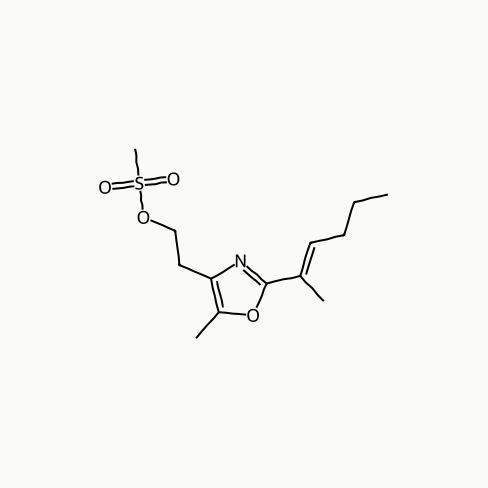 CCCC=C(C)c1nc(CCOS(C)(=O)=O)c(C)o1